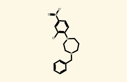 O=[N+]([O-])c1ccc(N2CCCN(Cc3ccccc3)CC2)c(Cl)c1